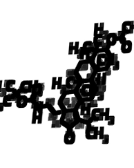 CC(=O)O[C@H]1CC[C@]2(C)[C@H]3CC[C@@H]4C5=C(C(C)C)C(=O)C[C@]5(CCNC(=O)OC(C)(C)C)CC[C@@]4(C)[C@]3(C)CC[C@H]2C1(C)C